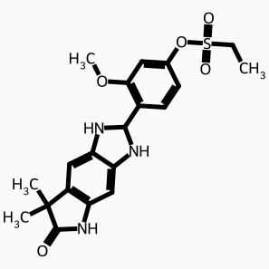 CCS(=O)(=O)Oc1ccc(C2Nc3cc4c(cc3N2)C(C)(C)C(=O)N4)c(OC)c1